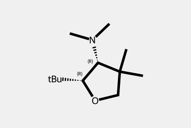 CN(C)[C@H]1[C@@H](C(C)(C)C)OCC1(C)C